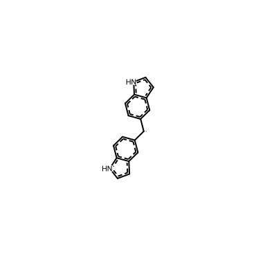 [CH](c1ccc2[nH]ccc2c1)c1ccc2[nH]ccc2c1